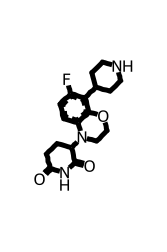 O=C1CCC(N2CCOc3c2ccc(F)c3C2CCNCC2)C(=O)N1